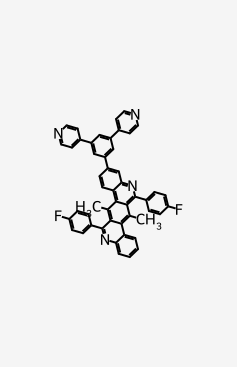 Cc1c2c(-c3ccc(F)cc3)nc3cc(-c4cc(-c5ccncc5)cc(-c5ccncc5)c4)ccc3c2c(C)c2c(-c3ccc(F)cc3)nc3ccccc3c12